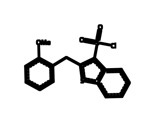 COc1ccccc1Cc1sc2ccccc2c1S(=O)(=O)Cl